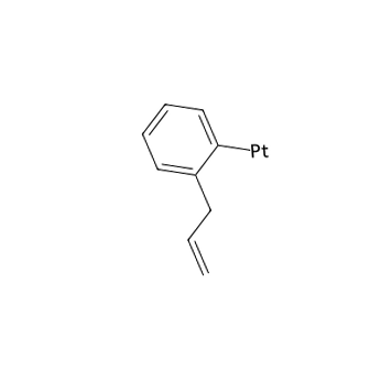 C=CCc1cccc[c]1[Pt]